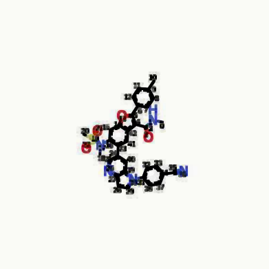 CNC(=O)c1c(-c2ccc(C)cc2)oc2cc(N(C)S(C)(=O)=O)c(-c3cnc4ccn(-c5ccc(C#N)cc5)c4c3)cc12